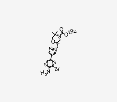 CC(C)(C)OC(=O)N1C[C@@H](Cn2cc(-c3cnc(N)c(Br)n3)cn2)OCC1(C)C